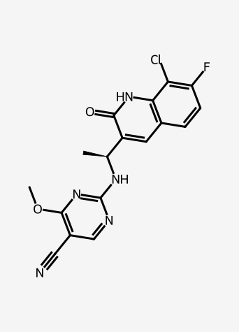 COc1nc(N[C@@H](C)c2cc3ccc(F)c(Cl)c3[nH]c2=O)ncc1C#N